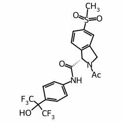 CC(=O)N1Cc2cc(S(C)(=O)=O)ccc2[C@H]1C(=O)Nc1ccc(C(O)(C(F)(F)F)C(F)(F)F)cc1